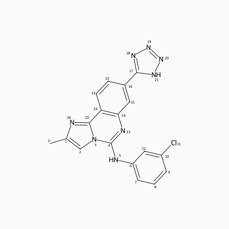 Cc1cn2c(Nc3cccc(Cl)c3)nc3cc(-c4nnn[nH]4)ccc3c2n1